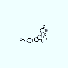 CN(Cc1cc(N2CCN(CC=O)CC2)ccc1C=O)C1CCC(=O)NC1=O